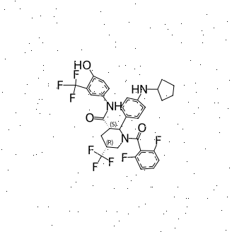 O=C(Nc1ccc(O)c(C(F)(F)F)c1)[C@H]1C[C@@H](C(F)(F)F)CN(C(=O)c2c(F)cccc2F)C1c1ccc(NC2CCCC2)cc1